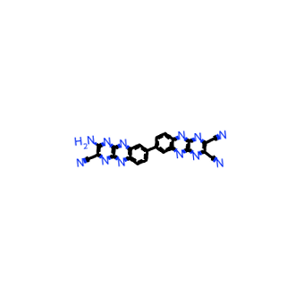 N#Cc1nc2nc3ccc(-c4ccc5nc6nc(C#N)c(C#N)nc6nc5c4)cc3nc2nc1N